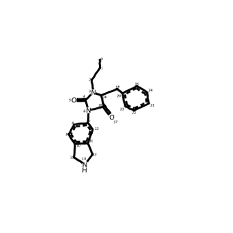 CCCN1C(=O)N(c2ccc3c(c2)CNC3)C(=O)C1Cc1ccccc1